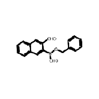 O=[C]c1cc2ccccc2cc1N(C=O)OCc1ccccc1